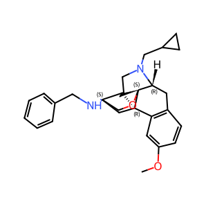 COc1ccc2c(c1)[C@]13CCN(CC4CC4)[C@H](C2)[C@]12CC[C@@](NCc1ccccc1)(CO2)C3